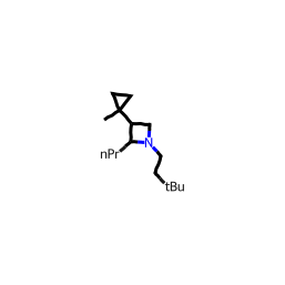 CCCC1C(C2(C)CC2)CN1CCC(C)(C)C